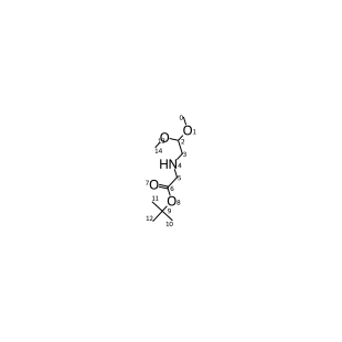 COC(CNCC(=O)OC(C)(C)C)OC